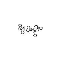 C1=C(c2ccc(-c3nc4c5ccccc5oc4c4ccccc34)c3ccccc23)NC(c2cccc3c2oc2ccccc23)N=C1c1ccccc1